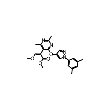 COC=C(C(=O)OC)c1c(C)nc(C)nc1Oc1cnn(-c2cc(C)cc(C)c2)c1